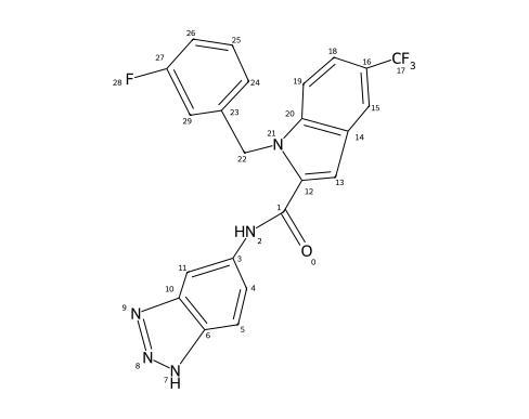 O=C(Nc1ccc2[nH]nnc2c1)c1cc2cc(C(F)(F)F)ccc2n1Cc1cccc(F)c1